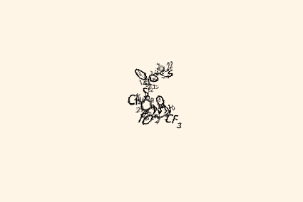 Cn1c(C(F)(F)F)cc(=O)n(-c2cc(SCC(C)(C)C(=O)OCC3CCSC3)c(Cl)cc2F)c1=O